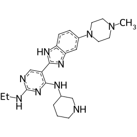 CCNc1ncc(-c2nc3cc(N4CCN(C)CC4)ccc3[nH]2)c(NC2CCCNC2)n1